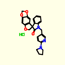 Cl.O=C1N(Cc2ccc(N3CCCC3)nc2)c2ccccc2C12COc1cc3c(cc12)OCO3